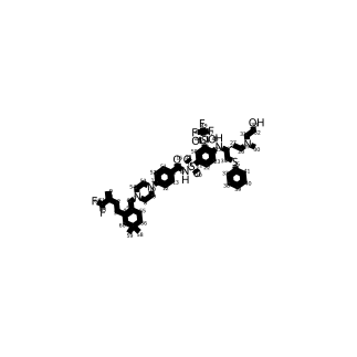 C=C(CCC1=C(CN2CCN(c3ccc(C(=O)NS(=O)(=O)c4ccc(N[C@H](CCN(C)CCO)CSc5ccccc5)c(S(=O)(=O)C(F)(F)F)c4)cc3)CC2)CCC(C)(C)C1)C(F)F